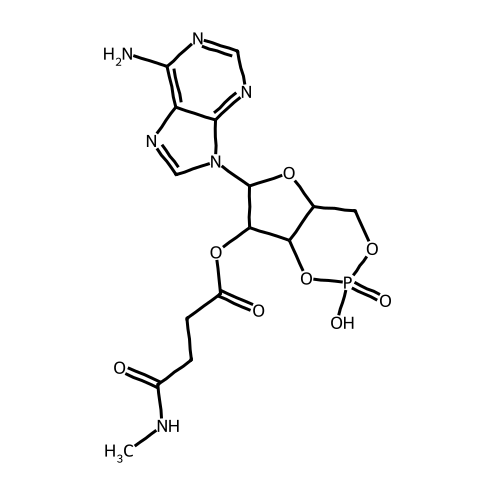 CNC(=O)CCC(=O)OC1C2OP(=O)(O)OCC2OC1n1cnc2c(N)ncnc21